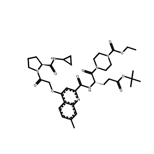 CCOC(=O)N1CCN(C(=O)[C@H](CCC(=O)OC(C)(C)C)NC(=O)c2cc(OCC(=O)N3CCC[C@H]3C(=O)NC3CC3)c3ccc(C)cc3n2)CC1